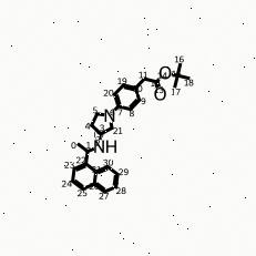 CC(N[C@H]1CCN(c2ccc(CC(=O)OC(C)(C)C)cc2)C1)c1cccc2ccccc12